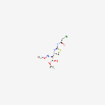 CO/N=C(\C(=O)OC)c1csc(NC(=O)CCl)n1